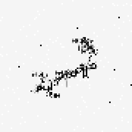 O=C(O)C[C@H](NC(=O)N[C@@H](CCCCNC(=O)[C@H](Cc1ccccc1)NC(=O)COc1ccc(C[C@H](NC(=O)CNC(=O)CN2CCN(CC(=O)O)CCN(CC(=O)O)CCN(CC(=O)O)CC2)C(=O)O)cc1)C(=O)O)C(=O)O